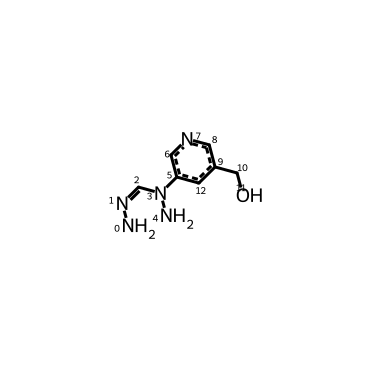 N/N=C\N(N)c1cncc(CO)c1